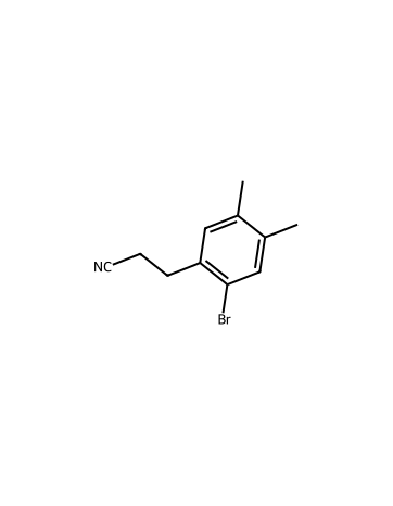 Cc1cc(Br)c(CCC#N)cc1C